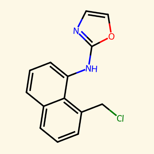 ClCc1cccc2cccc(Nc3ncco3)c12